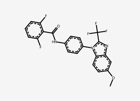 COc1ccc2c(c1)nc(C(F)(F)F)n2-c1ccc(NC(=O)c2c(F)cccc2F)cc1